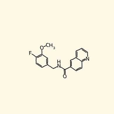 COc1cc(CNC(=O)c2ccc3ncccc3c2)ccc1F